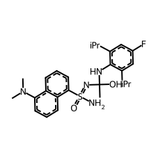 CC(C)c1cc(F)cc(C(C)C)c1NC(C)(O)N=S(N)(=O)c1cccc2c(N(C)C)cccc12